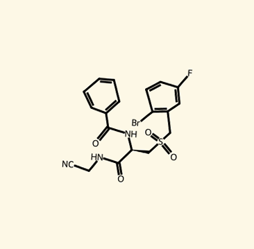 N#CCNC(=O)[C@H](CS(=O)(=O)Cc1cc(F)ccc1Br)NC(=O)c1ccccc1